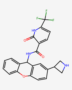 O=C(NC1c2ccccc2Oc2ccc(C3CNC3)cc21)c1ccc(C(F)(F)F)[nH]c1=O